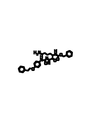 NCCCCC(NC(=O)OCc1ccccc1)C(=O)c1noc(Nc2ccc(OCCc3ccccc3)cc2)n1